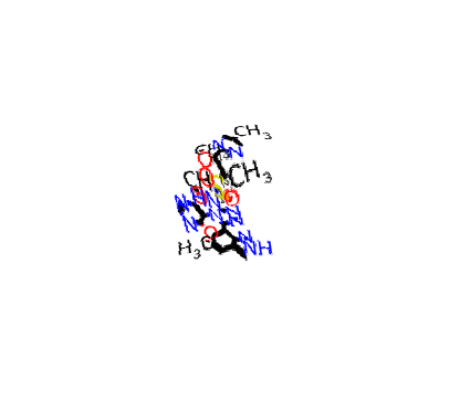 COc1ncnc(OC)c1-n1c(NS(=O)(=O)[C@@H](C)[C@H](OC)c2ncc(C)cn2)nnc1-c1cccc2c[nH]nc12